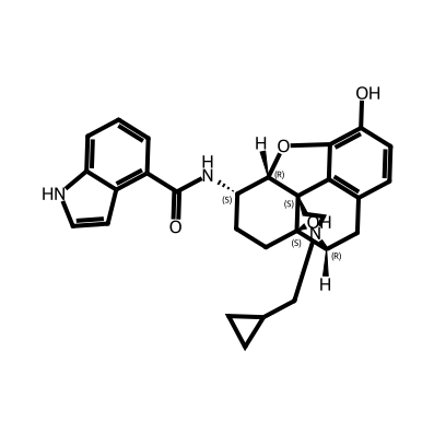 O=C(N[C@H]1CC[C@@]2(O)[C@H]3Cc4ccc(O)c5c4[C@@]2(CCN3CC2CC2)[C@H]1O5)c1cccc2[nH]ccc12